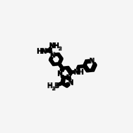 Bc1cnn2c(NCc3cccnc3)cc(C3CCN(C(=N)N)CC3)nc12